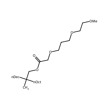 CCCCCCCCCCC(C)(CCCCCCCC)COC(=O)COCCCOCCOC